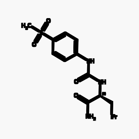 CC(C)C[C@H](NC(=O)Nc1ccc(S(C)(=O)=O)cc1)C(N)=O